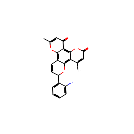 CCCc1[c]c(=O)oc2c1c1c(c3oc(C)cc(=O)c32)C=CC(c2ccccc2N)O1